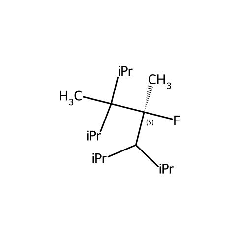 CC(C)C(C(C)C)[C@](C)(F)C(C)(C(C)C)C(C)C